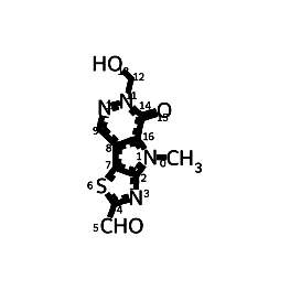 Cn1c2nc(C=O)sc2c2cnn(CO)c(=O)c21